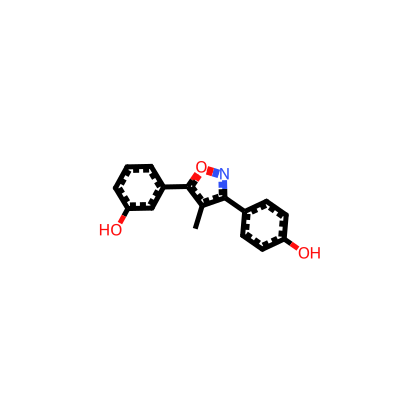 Cc1c(-c2ccc(O)cc2)noc1-c1cccc(O)c1